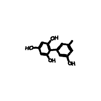 Cc1cc(O)cc(-c2c(O)cc(O)cc2O)c1